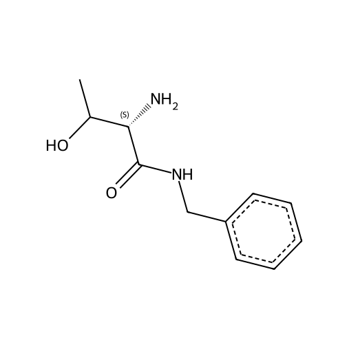 CC(O)[C@H](N)C(=O)NCc1ccccc1